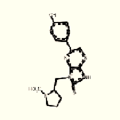 O=C(O)N1CCCC1Cn1c(=O)[nH]c2ncc(-c3ccc(O)cc3)nc21